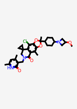 COC1CN(C2CCC(C3(C)Oc4c(C)c5c(c(Cl)c4O3)C3(CC3)CN(Cc3c(C)cc(C)[nH]c3=O)C5=O)CC2)C1